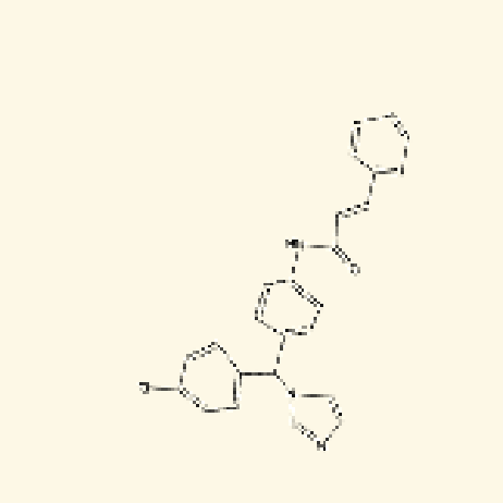 O=C(/C=C/c1ccccc1)Nc1ccc(C(c2ccc(Cl)cc2)n2ccnc2)cc1